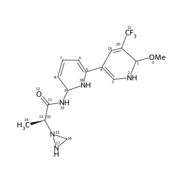 COC1NC=C(C2=CC=CC(NC(=O)[C@H](C)N3CN3)N2)C=C1C(F)(F)F